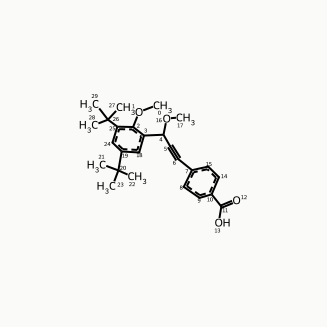 COc1c(C(C#Cc2ccc(C(=O)O)cc2)OC)cc(C(C)(C)C)cc1C(C)(C)C